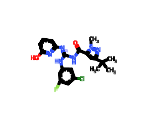 Cn1nc(C(C)(C)C)cc1C(=O)N/C(=N/c1cccc(O)n1)Nc1cc(F)cc(Cl)c1